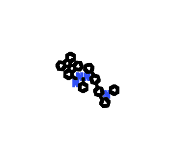 c1ccc(-n2c3ccccc3c3ccc(-c4ccc5c6ccccc6n(-c6nc(-c7cccc8c7-c7ccccc7C87c8ccccc8-c8ccccc87)nc7ccccc67)c5c4)cc32)cc1